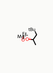 CC([O-])CC(C)(C)C.CC[O-].[Mg+2]